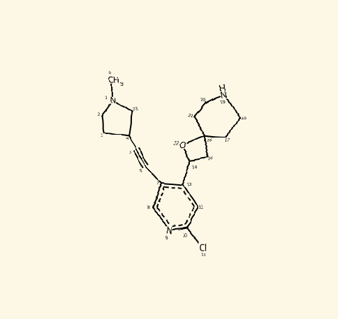 CN1CCC(C#Cc2cnc(Cl)cc2C2CC3(CCNCC3)O2)C1